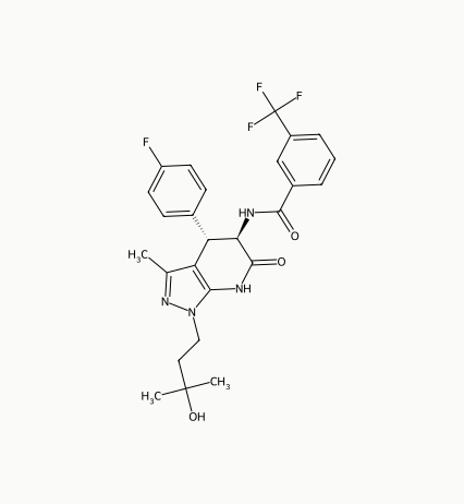 Cc1nn(CCC(C)(C)O)c2c1[C@H](c1ccc(F)cc1)[C@@H](NC(=O)c1cccc(C(F)(F)F)c1)C(=O)N2